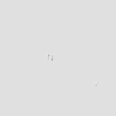 C=C1C(=O)C2CCCCCN12